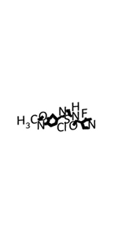 Cc1nc2cc(Cl)c(-c3ncc(NC(=O)c4ccncc4F)s3)cc2o1